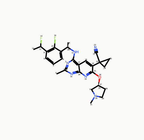 Cc1nc(N[C@H](C)c2cccc(C(C)F)c2F)c2cc(C3(C#N)CC3)c(O[C@H]3CCN(C)C3)nc2n1